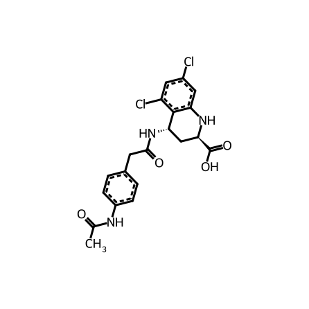 CC(=O)Nc1ccc(CC(=O)N[C@H]2C[C@H](C(=O)O)Nc3cc(Cl)cc(Cl)c32)cc1